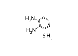 Nc1cccc([SiH3])c1N